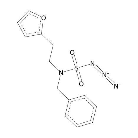 [N-]=[N+]=NS(=O)(=O)N(CCc1ccco1)Cc1ccccc1